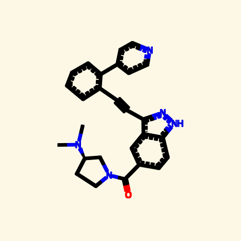 CN(C)[C@@H]1CCN(C(=O)c2ccc3[nH]nc(C#Cc4ccccc4-c4ccncc4)c3c2)C1